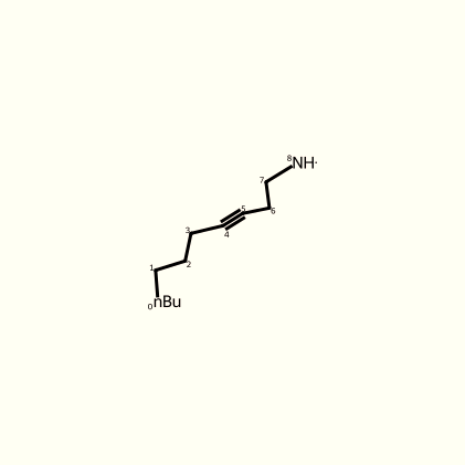 CCCCCCCC#CCC[NH]